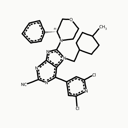 CC1CCC(Cn2c(N3CCOC[C@H]3c3ccccc3)nc3nc(C#N)nc(-c4cc(Cl)nc(Cl)c4)c32)CC1